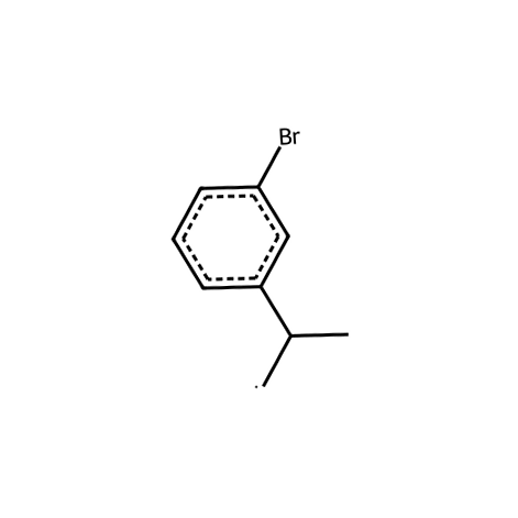 [CH2]C(C)c1cccc(Br)c1